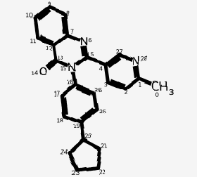 Cc1ccc(-c2nc3ccccc3c(=O)n2-c2ccc(C3CCCC3)cc2)cn1